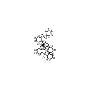 CC(C)(c1ccccc1)c1ccccc1OP(=O)(Oc1ccccc1)Oc1ccccc1C(C)(C)c1ccccc1